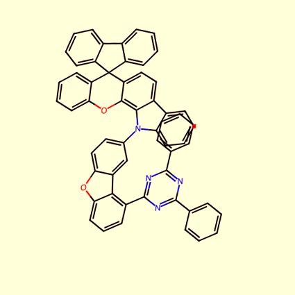 c1ccc(-c2nc(-c3ccccc3)nc(-c3cccc4oc5ccc(-n6c7ccccc7c7ccc8c(c76)Oc6ccccc6C86c7ccccc7-c7ccccc76)cc5c34)n2)cc1